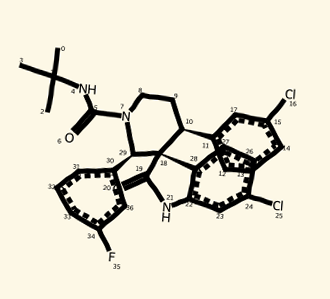 CC(C)(C)NC(=O)N1CC[C@@H](c2cccc(Cl)c2)[C@]2(C(=O)Nc3cc(Cl)ccc32)[C@H]1c1cccc(F)c1